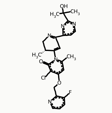 Cc1cc(OCc2ncccc2F)c(Cl)c(=O)n1C1=CC(c2ccnc(C(C)(C)O)n2)=NC[C@H]1C